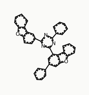 c1ccc(-c2cc(-c3nc(-c4ccccc4)nc(-c4ccc5oc6ccccc6c5c4)n3)c3c(c2)oc2ccccc23)cc1